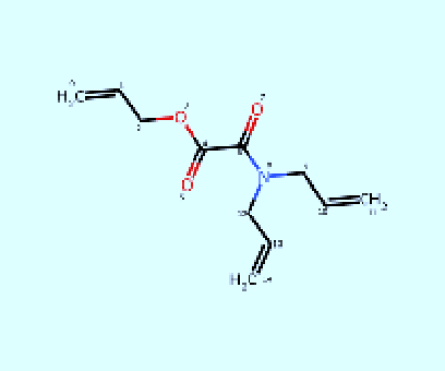 C=CCOC(=O)C(=O)N(CC=C)CC=C